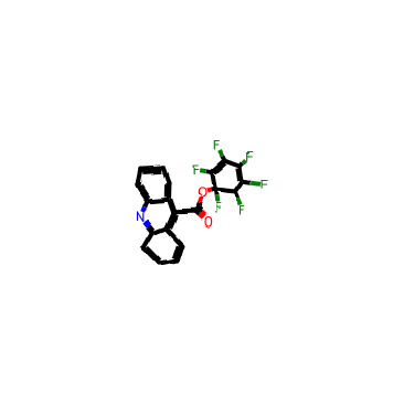 O=C(OC1(F)C(F)=C(F)C(F)=C(F)C1F)c1c2ccccc2nc2ccccc12